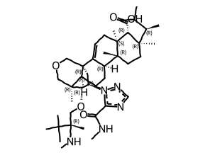 CNC(=O)c1ncnn1[C@@H]1C[C@@]23COC[C@@](C)([C@@H]2CC[C@H]2C3=CC[C@@]3(C)[C@H](C(=O)O)[C@@](C)([C@H](C)C(C)C)CC[C@]23C)[C@H]1OC[C@](C)(NC)C(C)(C)C